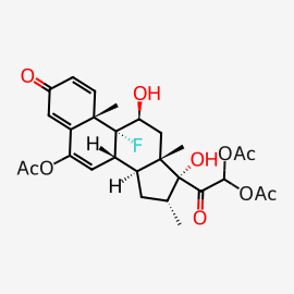 CC(=O)OC1=C[C@H]2[C@@H]3C[C@@H](C)[C@](O)(C(=O)C(OC(C)=O)OC(C)=O)[C@@]3(C)C[C@H](O)[C@]2(F)[C@@]2(C)C=CC(=O)C=C12